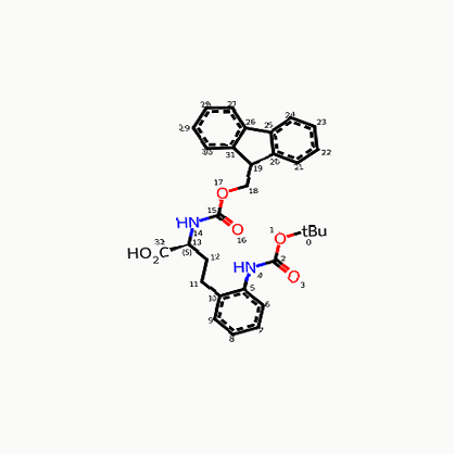 CC(C)(C)OC(=O)Nc1ccccc1CC[C@H](NC(=O)OCC1c2ccccc2-c2ccccc21)C(=O)O